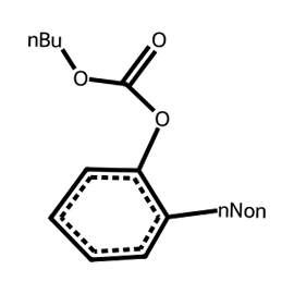 CCCCCCCCCc1ccccc1OC(=O)OCCCC